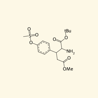 COC(=O)CC(c1ccc(OS(C)(=O)=O)cc1)C(N)C(=O)OC(C)(C)C